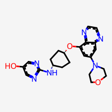 Oc1cnc(N[C@H]2CC[C@@H](Oc3cc(N4CCOCC4)cc4nccnc34)CC2)nc1